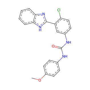 COc1ccc(NC(=O)Nc2ccc(Cl)c(-c3nc4ccccc4[nH]3)c2)cc1